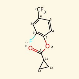 O=C(Oc1ccc(C(F)(F)F)cc1F)C1CC1